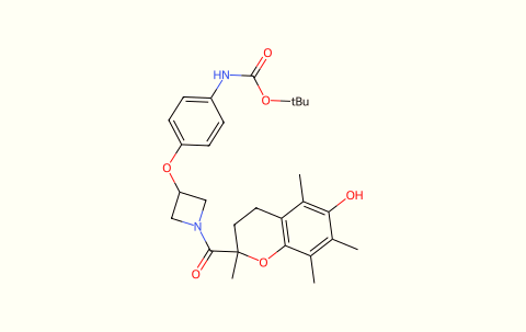 Cc1c(C)c2c(c(C)c1O)CCC(C)(C(=O)N1CC(Oc3ccc(NC(=O)OC(C)(C)C)cc3)C1)O2